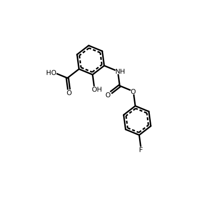 O=C(Nc1cccc(C(=O)O)c1O)Oc1ccc(F)cc1